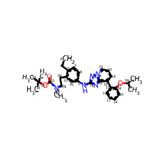 CCc1ccc(Nc2nc3c(-c4ccccc4OC(C)C)cccn3n2)cc1CCN(C)C(=O)OC(C)(C)C